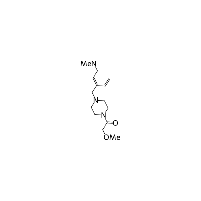 C=C/C(=C\CNC)CN1CCN(C(=O)COC)CC1